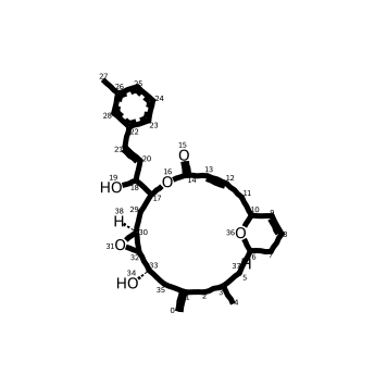 C=C1CC(C)C[C@@H]2CC=CC(C/C=C\C(=O)OC(C(O)/C=C/c3cccc(C)c3)C[C@@H]3OC3[C@@H](O)C1)O2